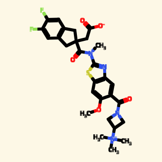 COc1cc2sc(N(C)C(=O)C3(CC(=O)[O-])Cc4cc(F)c(F)cc4C3)nc2cc1C(=O)N1CC([N+](C)(C)C)C1